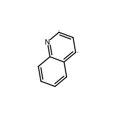 [c]1c[c]c2ccccc2n1